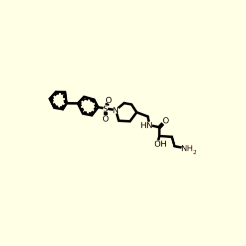 NCCC(O)C(=O)NCC1CCN(S(=O)(=O)c2ccc(-c3ccccc3)cc2)CC1